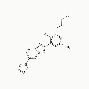 CCCCc1cc(C)cc(-n2nc3ccc(-n4cccc4)cc3n2)c1O